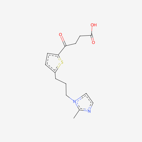 Cc1nccn1CCCc1ccc(C(=O)CCC(=O)O)s1